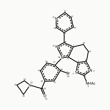 CC(=O)Nc1nc2c(s1)-c1c(c(-c3cccnc3)nn1-c1ccc(C(=O)N3CCC3)cc1Br)CC2